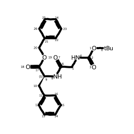 CC(C)(C)OC(=O)NCC(=O)N[C@@H](Cc1ccccc1)C(=O)OCc1ccccc1